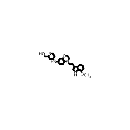 COC1=C2NC=C(CCN3CCOc4cc(Nc5ccnc(CO)c5)ccc43)C2CC=C1